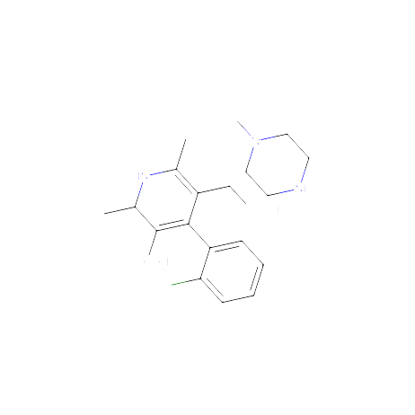 CC(C)N1CCNCC1.CC1=C(CC(=O)O)C(c2ccccc2Cl)=C(C(=O)O)C(C)N1